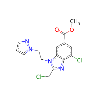 COC(=O)c1cc(Cl)c2nc(CCl)n(CCn3cccn3)c2c1